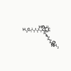 CCCCCCCC/C=C\CCCCCCCC(N)=O.Oc1ccccc1